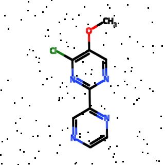 COc1cnc(-c2cnccn2)nc1Cl